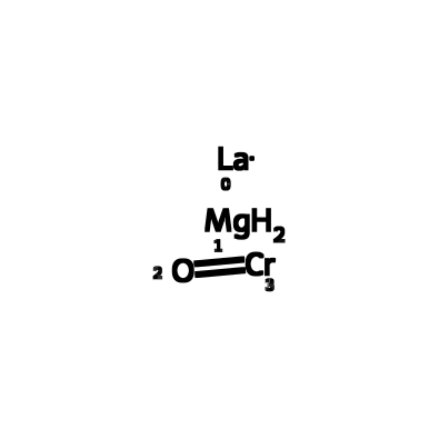 [La].[MgH2].[O]=[Cr]